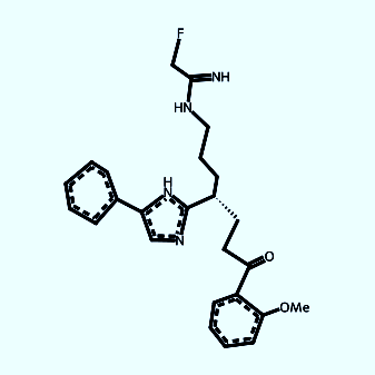 COc1ccccc1C(=O)CC[C@@H](CCCNC(=N)CF)c1ncc(-c2ccccc2)[nH]1